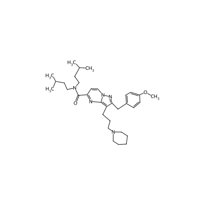 COc1ccc(Cc2nn3ccc(C(=O)N(CCC(C)C)CCC(C)C)nc3c2CCCN2CCCCC2)cc1